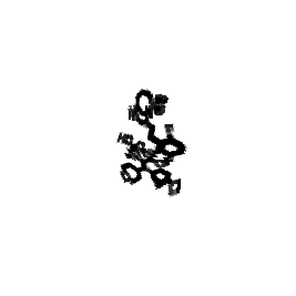 CN(C(=O)O)[C@H](C(=O)Nc1c(F)ccc(F)c1CC[C@H]1CN[C@@H]2CCCS(=O)(=O)N1C2)[C@@H](c1ccc(Cl)cc1)C1CCOCC1